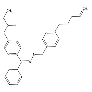 C=CCCCc1ccc(C=NN=C(c2ccccc2)c2ccc(CC(F)CC)cc2)cc1